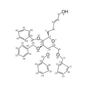 OC/C=C/CC[C@H]1OC(COCc2ccccc2)[C@H](OCc2ccccc2)[C@@H](OCc2ccccc2)C1OCc1ccccc1